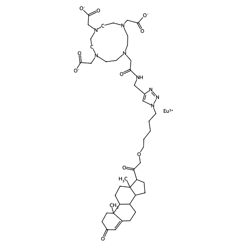 CC12CCC(=O)C=C1CCC1C2CCC2(C)C(C(=O)COCCCCCn3cc(CNC(=O)CN4CCN(CC(=O)[O-])CCN(CC(=O)[O-])CCN(CC(=O)[O-])CC4)nn3)CCC12.[Eu+3]